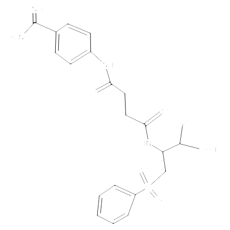 CCC(C(=O)O)C(CS(=O)(=O)c1ccccc1)NC(=O)CCC(=O)Nc1ccc(C(=N)N)cc1